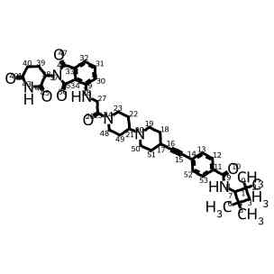 CC1(C)CC(C)(C)C1NC(=O)c1ccc(C#CC2CCN(C3CCN(C(=O)CNc4cccc5c4C(=O)N(C4CCC(=O)NC4=O)C5=O)CC3)CC2)cc1